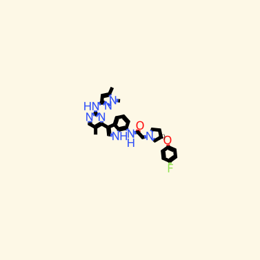 Cc1cnc(Nc2cc(C)n(C)n2)nc1-c1c[nH]c2c(NC(=O)CN3CC[C@H](Oc4ccc(F)cc4)C3)cccc12